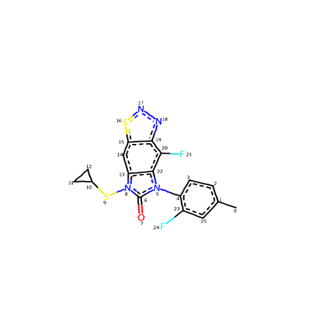 Cc1ccc(-n2c(=O)n(SC3CC3)c3cc4snnc4c(F)c32)c(F)c1